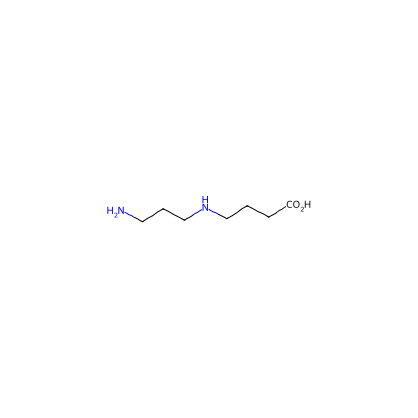 NCCCNCCCC(=O)O